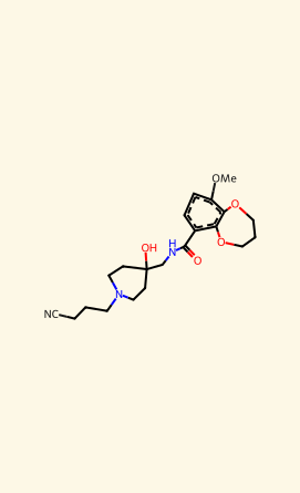 COc1ccc(C(=O)NCC2(O)CCN(CCCC#N)CC2)c2c1OCCCO2